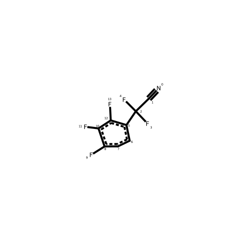 N#CC(F)(F)c1ccc(F)c(F)c1F